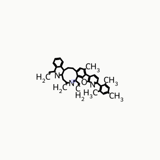 C=CC1=NC2CC(=C)/N=C(/C=C)c3c(cc(C)c4c3oc3nc(-c5c(C)cc(C)cc5C)ccc34)CCC2c2ccccc21